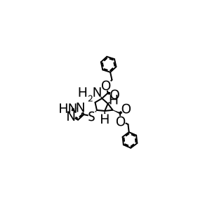 N[C@@]1(C(=O)OCc2ccccc2)C[C@@H](Sc2cn[nH]n2)[C@H]2[C@H](C(=O)OCc3ccccc3)[C@H]21